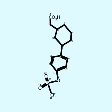 O=C(O)CC1CCCC(c2ccc(OS(=O)(=O)C(F)(F)F)cc2)C1